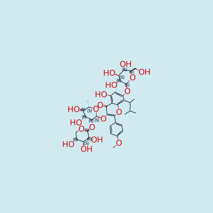 COc1ccc(-c2oc3c(C(C)C(C)C)c(O[C@@H]4O[C@H](CO)[C@@H](O)[C@H](O)[C@H]4O)cc(O)c3c(=O)c2O[C@@H]2O[C@@H](C)[C@H](O)[C@@H](O)[C@H]2O[C@@H]2OC[C@@H](O)[C@H](O)[C@H]2O)cc1